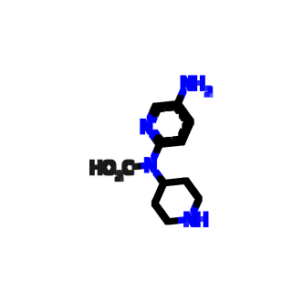 Nc1ccc(N(C(=O)O)C2CCNCC2)nc1